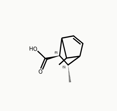 CC1C2C=CC1[C@H](C(=O)O)[C@H]2C